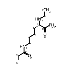 CCN[C@@H](CCCCNC(=O)CI)C(=O)P